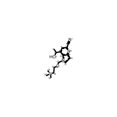 CC(O)c1cc(C#N)nc2ccn(COCC[Si](C)(C)C)c12